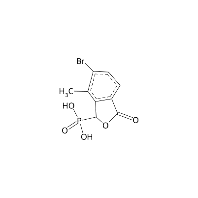 Cc1c(Br)ccc2c1C(P(=O)(O)O)OC2=O